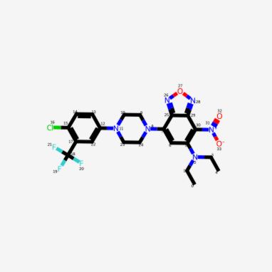 CCN(CC)c1cc(N2CCN(c3ccc(Cl)c(C(F)(F)F)c3)CC2)c2nonc2c1[N+](=O)[O-]